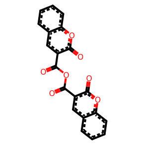 O=C(OC(=O)c1cc2ccccc2oc1=O)c1cc2ccccc2oc1=O